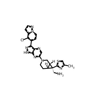 Cc1csc([C@@]2(CN)[C@@H]3CCN(c4cnc5c(-c6ccn7nccc7c6Cl)n[nH]c5n4)C[C@@H]32)n1